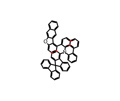 c1ccc(-c2ccccc2N(c2ccccc2-c2cccc3oc4cc5ccccc5cc4c23)c2cccc3c2-c2ccccc2C32c3ccccc3-c3ccccc32)cc1